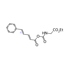 CCOC(=O)CNC(=O)OC(=O)C=C/C=C/c1ccccc1